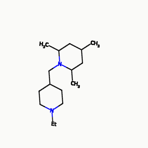 CCN1CCC(CN2C(C)CC(C)CC2C)CC1